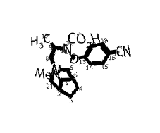 CNC1C2CCC1CN(CC(C)N(Oc1ccc(C#N)cc1)C(=O)O)C2